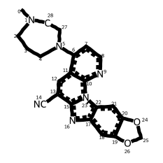 CN1CCCN(c2ccnc3c2cc(C#N)c2nc4cc5c(cc4n23)OCO5)CC1